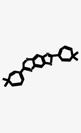 CC1(C)C=CC=C(C2=Nc3cc4sc(C5=CC=CC(C)(C)C=C5)nc4cc3SC2)C=C1